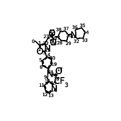 Cc1oc(-c2ccc(N(Cc3cccnc3)C(=O)C(F)(F)F)cc2)nc1CS(=O)(=O)C1CCC(N2CCCCC2)CC1